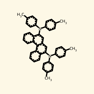 Cc1ccc(N(c2ccc(C)cc2)c2cc3cc(N(c4ccc(C)cc4)c4ccc(C)cc4)c4ccccc4c3c3ccccc23)cc1